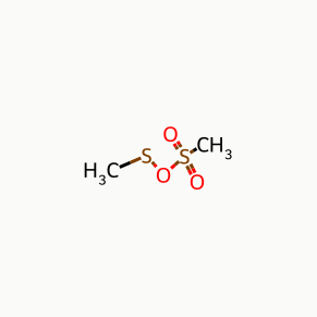 CSOS(C)(=O)=O